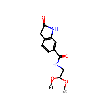 CCOC(CNC(=O)c1ccc2c(c1)NC(=O)C2)OCC